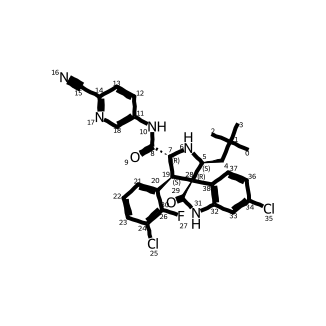 CC(C)(C)C[C@@H]1N[C@@H](C(=O)Nc2ccc(C#N)nc2)[C@H](c2cccc(Cl)c2F)[C@]12C(=O)Nc1cc(Cl)ccc12